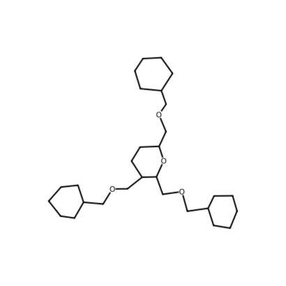 C1CCC(COCC2CCC(COCC3CCCCC3)C(COCC3CCCCC3)O2)CC1